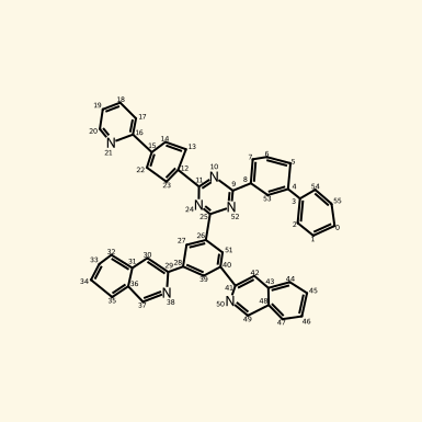 c1ccc(-c2cccc(-c3nc(-c4ccc(-c5ccccn5)cc4)nc(-c4cc(-c5cc6ccccc6cn5)cc(-c5cc6ccccc6cn5)c4)n3)c2)cc1